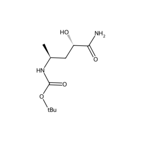 C[C@@H](C[C@H](O)C(N)=O)NC(=O)OC(C)(C)C